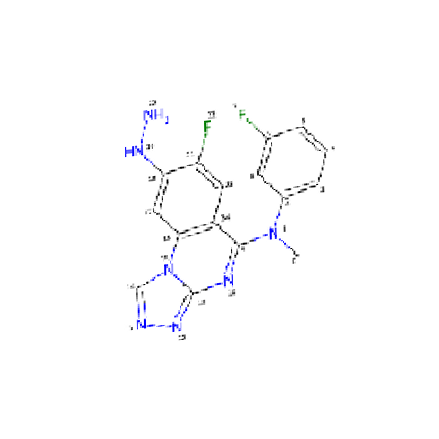 CN(c1cccc(F)c1)c1nc2nncn2c2cc(NN)c(F)cc12